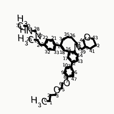 CCCCOCCOc1ccc(-c2ccc3c(c2)/C=C(/c2ccc(CC(C)/N=C\NCC)cc2)CCCCN3CC2CCCOC2)cc1